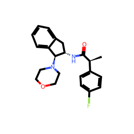 C[C@H](C(=O)N[C@H]1Cc2ccccc2[C@@H]1N1CCOCC1)c1ccc(F)cc1